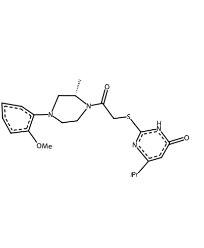 COc1ccccc1N1CCN(C(=O)CSc2nc(C(C)C)cc(=O)[nH]2)[C@@H](C)C1